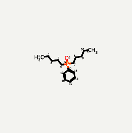 CCCCCP(=O)(CCCCC)c1ccccc1